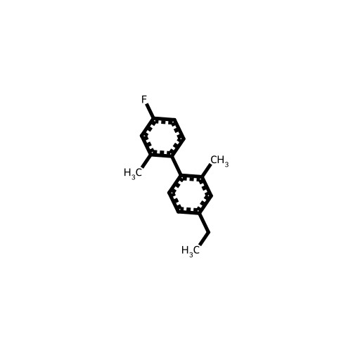 CCc1ccc(-c2ccc(F)cc2C)c(C)c1